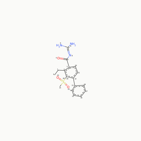 CCc1c(C(=O)N=C(N)N)ccc(-c2ccccc2)c1S(C)(=O)=O